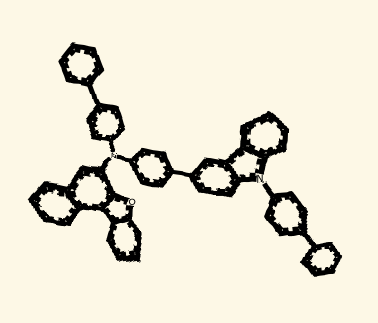 c1ccc(-c2ccc(N(c3ccc(-c4ccc5c(c4)c4ccccc4n5-c4ccc(-c5ccccc5)cc4)cc3)c3cc4ccccc4c4c3oc3ccccc34)cc2)cc1